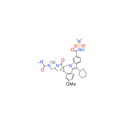 COc1ccc2c(c1)C1CC1(C(=O)N1C(C)CN(C(=O)N(C)C)C[C@@H]1C)Cn1c-2c(C2CCCCC2)c2ccc(C(=O)NS(=O)(=O)N(C)C)cc21